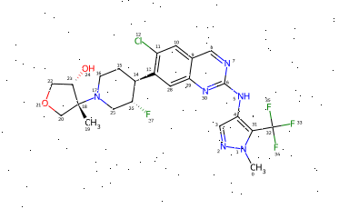 Cn1ncc(Nc2ncc3cc(Cl)c([C@@H]4CCN([C@]5(C)COC[C@@H]5O)C[C@H]4F)cc3n2)c1C(F)(F)F